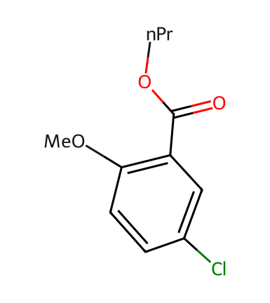 CCCOC(=O)c1cc(Cl)ccc1OC